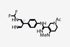 CNC1=C(C(=N)Nc2ccc(/C(C=N)=C/NC(F)F)cc2)CN(C(C)=O)CC1